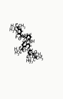 CC(C)(C)OC(=O)N1C[C@@H](CCC(Nc2cccc(SNC(=O)c3ccc(C(C)(C)C)nc3F)n2)c2cc(C(C)(C)C)ccn2)CC1(C)C